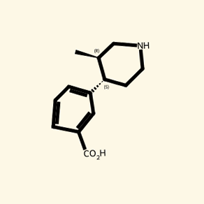 C[C@H]1CNCC[C@@H]1c1cccc(C(=O)O)c1